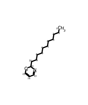 CCCCCCCCCCCC1N=CC=CO1